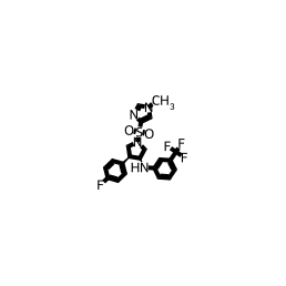 Cn1cnc(S(=O)(=O)N2C[C@H](Nc3cccc(C(F)(F)F)c3)[C@@H](c3ccc(F)cc3)C2)c1